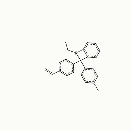 C=Cc1ccc(C2(c3ccc(C)cc3)c3ccccc3N2CC)cc1